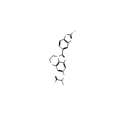 CC(Oc1cc2c3c(c1)nc(-c1ccc4oc(N)nc4c1)n3C[C@@H](C)O2)C(N)=O